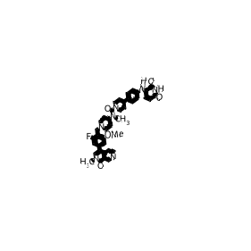 COc1cc(-c2cn(C)c(=O)c3cnccc23)cc(F)c1CN1CCC(N(C)C(=O)N2CCC(c3ccc(NC4CCC(=O)NC4=O)cc3)CC2)CC1